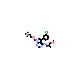 COCC(C)CNc1ncnc2c1c(-c1cccc(Cl)c1)cn2COCC[Si](C)(C)C